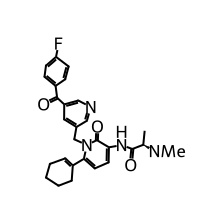 CN[C@H](C)C(=O)Nc1ccc(C2=CCCCC2)n(Cc2cncc(C(=O)c3ccc(F)cc3)c2)c1=O